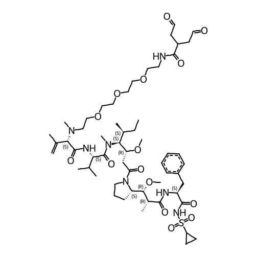 C=C(C)[C@@H](C(=O)N[C@H](C(=O)N(C)[C@@H]([C@@H](C)CC)[C@@H](CC(=O)N1CCC[C@H]1[C@H](OC)[C@@H](C)C(=O)N[C@@H](Cc1ccccc1)C(=O)NS(=O)(=O)C1CC1)OC)C(C)C)N(C)CCOCCOCCOCCNC(=O)C(CC=O)CC=O